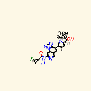 [2H]C([2H])([2H])C([2H])([2H])C([2H])(O)c1cc(C)c(-c2cc3cnc(NC(=O)[C@H]4C[C@H]4F)cc3n3ncnc23)cn1